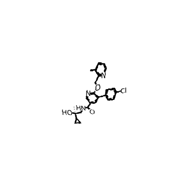 Cc1cccnc1COc1ncc(C(=O)NC[C@](C)(O)C2CC2)cc1-c1ccc(Cl)cc1